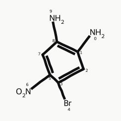 Nc1cc(Br)c([N+](=O)[O-])cc1N